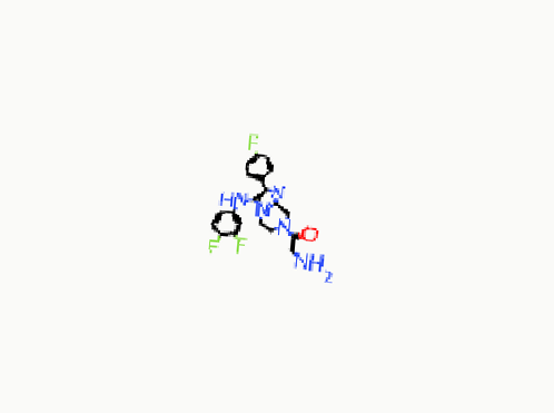 NCC(=O)N1CCn2c(nc(-c3ccc(F)cc3)c2Nc2ccc(F)c(F)c2)C1